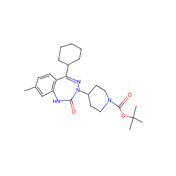 Cc1ccc2c(c1)NC(=O)N(C1CCN(C(=O)OC(C)(C)C)CC1)N=C2C1CCCCC1